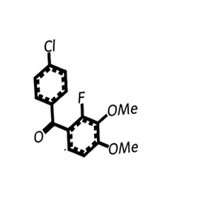 COc1c[c]c(C(=O)c2ccc(Cl)cc2)c(F)c1OC